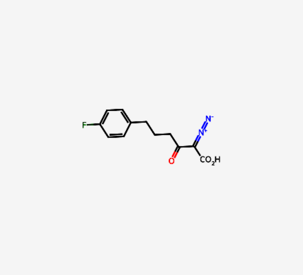 [N-]=[N+]=C(C(=O)O)C(=O)CCCc1ccc(F)cc1